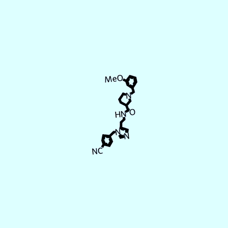 COc1cccc(CN2CCCC(C(=O)NCCc3cncn3Cc3ccc(C#N)cc3)C2)c1